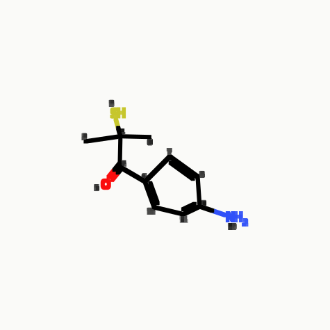 CC(C)(S)C(=O)c1ccc(N)cc1